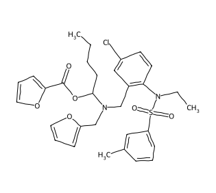 CCCCC(OC(=O)c1ccco1)N(Cc1ccco1)Cc1cc(Cl)ccc1N(CC)S(=O)(=O)c1cccc(C)c1